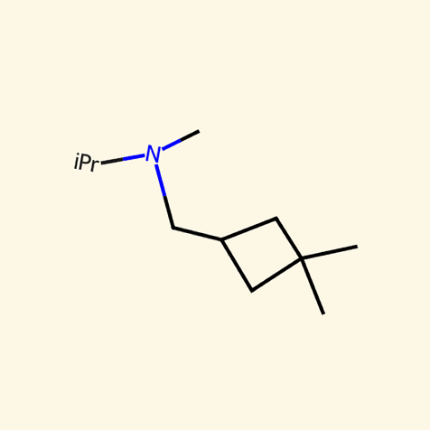 CC(C)N(C)CC1CC(C)(C)C1